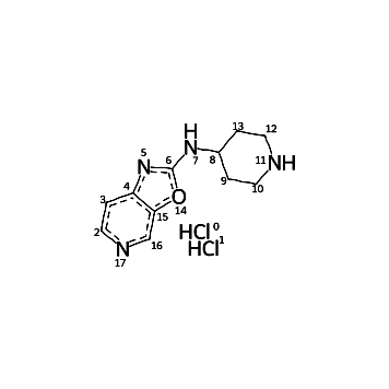 Cl.Cl.c1cc2nc(NC3CCNCC3)oc2cn1